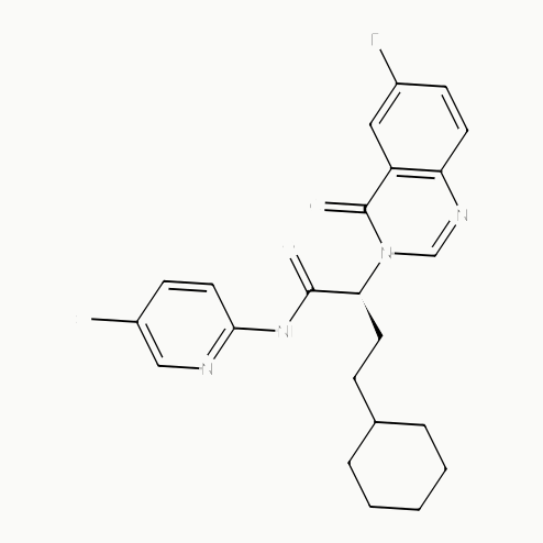 O=C(Nc1ccc(Cl)cn1)[C@H](CCC1CCCCC1)n1cnc2ccc(F)cc2c1=O